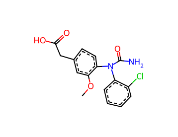 COc1cc(CC(=O)O)ccc1N(C(N)=O)c1ccccc1Cl